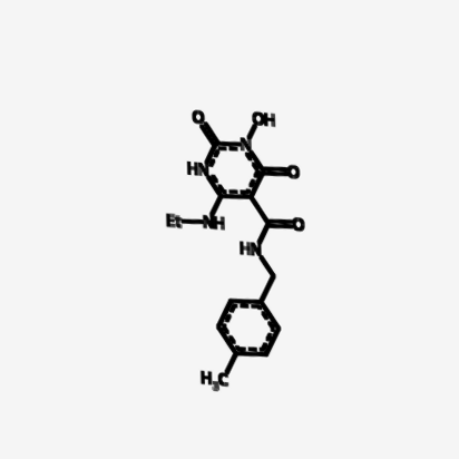 CCNc1[nH]c(=O)n(O)c(=O)c1C(=O)NCc1ccc(C)cc1